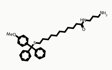 COc1ccc(C(SCCCCCCCCCCC(=O)NCCCN)(c2ccccc2)c2ccccc2)cc1